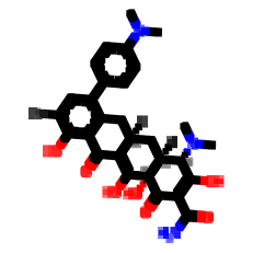 CCc1cc(-c2ccc(N(C)C)cc2)c2c(c1O)C(=O)C1=C(O)[C@]3(O)C(=O)C(C(N)=O)=C(O)[C@@H](N(C)C)[C@@H]3C[C@@H]1C2